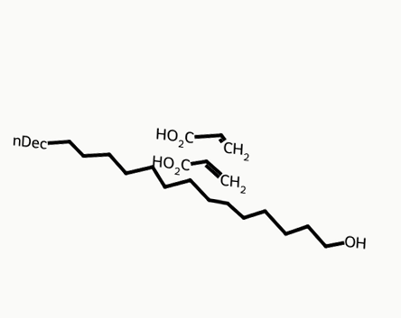 C=CC(=O)O.C=CC(=O)O.CCCCCCCCCCCCCCCCCCCCCCCCO